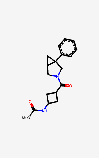 COC(=O)NC1CC(C(=O)N2CC3CC3(c3ccccc3)C2)C1